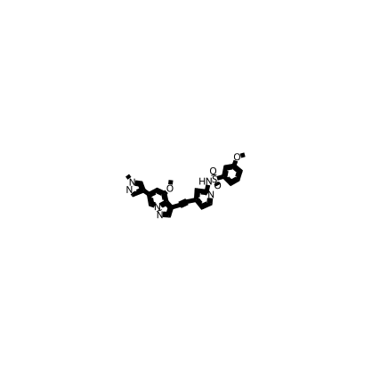 COc1cccc(S(=O)(=O)Nc2cc(C#Cc3cnn4cc(-c5cnn(C)c5)cc(OC)c34)ccn2)c1